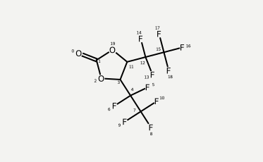 O=C1OC(C(F)(F)C(F)(F)F)C(C(F)(F)C(F)(F)F)O1